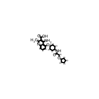 Cc1nc2cccc(O[C@H]3CC[C@H](NC(=O)COC4CCCC4)CC3)c2c(N)c1C(=O)O